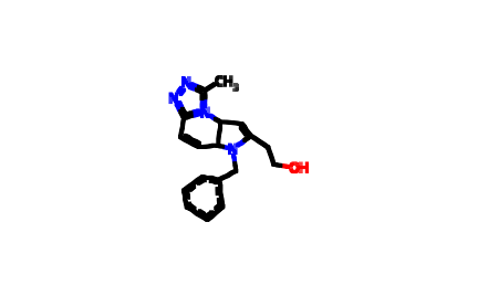 Cc1nnc2n1C1C=C(CCO)N(Cc3ccccc3)C1C=C2